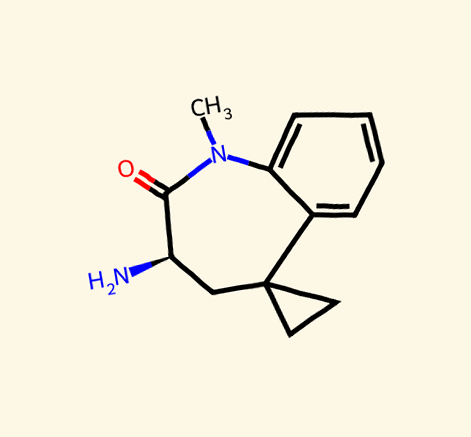 CN1C(=O)[C@H](N)CC2(CC2)c2ccccc21